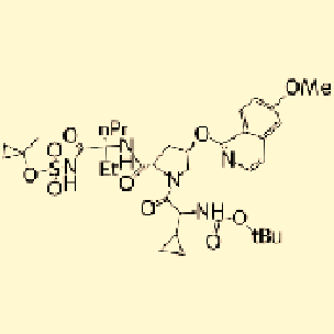 CCC[C@@](CC)(NC(=O)[C@@H]1C[C@@H](Oc2nccc3cc(OC)ccc23)CN1C(=O)[C@@H](NC(=O)OC(C)(C)C)C1CC1)C(=O)NS(=O)(=O)OC1(C)CC1